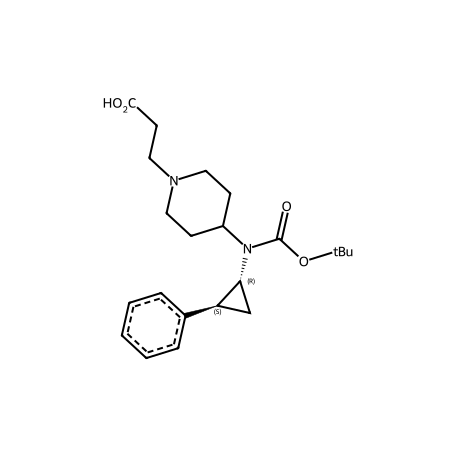 CC(C)(C)OC(=O)N(C1CCN(CCC(=O)O)CC1)[C@@H]1C[C@H]1c1ccccc1